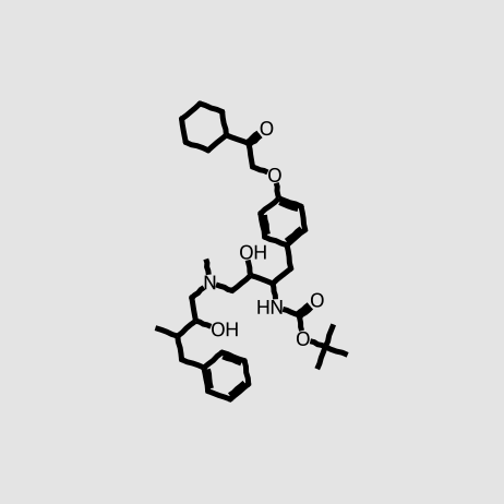 CC(Cc1ccccc1)C(O)CN(C)CC(O)C(Cc1ccc(OCC(=O)C2CCCCC2)cc1)NC(=O)OC(C)(C)C